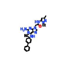 CCn1nc(C)cc1NC(=O)Cn1cnc2c(NC3(C#N)C=CC(c4ccccc4)=CC3)nc(N)nc21